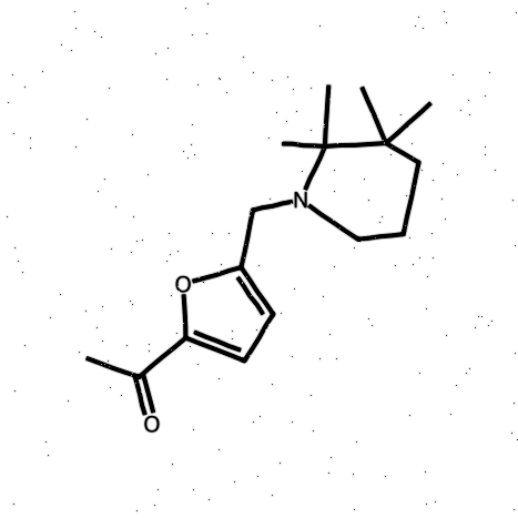 CC(=O)c1ccc(CN2CCCC(C)(C)C2(C)C)o1